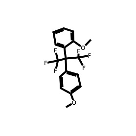 COc1ccc(C(c2ccccc2OC)(C(F)(F)F)C(F)(F)F)cc1